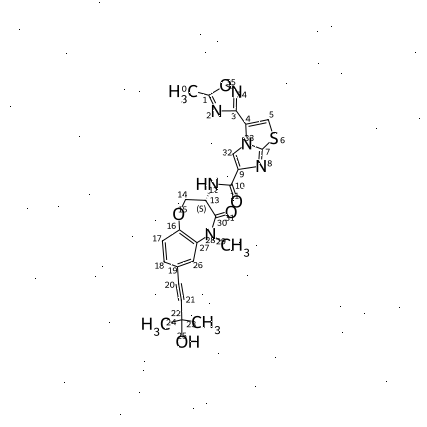 Cc1nc(-c2csc3nc(C(=O)N[C@H]4COc5ccc(C#CC(C)(C)O)cc5N(C)C4=O)cn23)no1